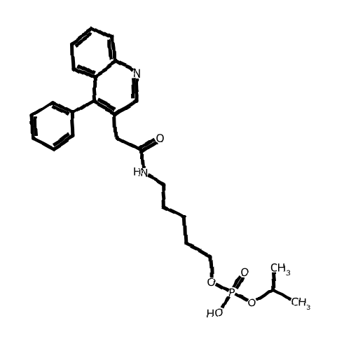 CC(C)OP(=O)(O)OCCCCCNC(=O)Cc1cnc2ccccc2c1-c1ccccc1